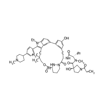 C=CC(=O)N1CC[C@](O)(C(=O)N(C)[C@H](C(=O)N[C@H]2Cc3cc(O)cc(c3)-c3ccc4c(c3)c(c(-c3ccc(C5CCN(C)CC5)cc3)n4CC)CC(C)(C)COC(=O)[C@@H]3CCCN(N3)C2=O)C(C)C)C1